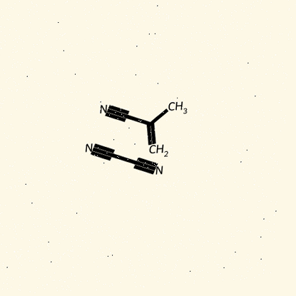 C=C(C)C#N.N#CC#N